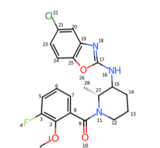 COc1c(F)cccc1C(=O)N1CCCC(Nc2nc3cc(Cl)ccc3o2)[C@H]1C